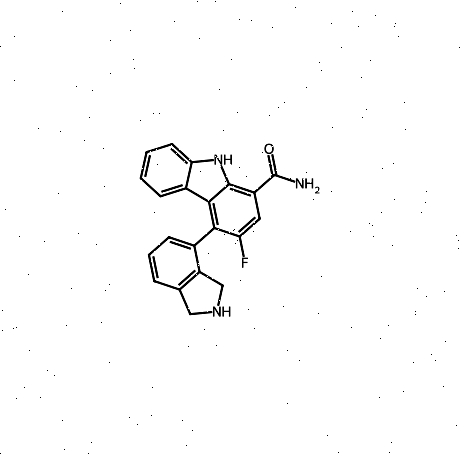 NC(=O)c1cc(F)c(-c2cccc3c2CNC3)c2c1[nH]c1ccccc12